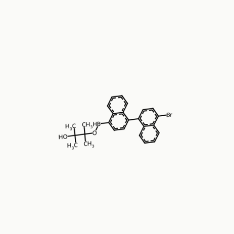 CC(C)(O)C(C)(C)OBc1ccc(-c2ccc(Br)c3ccccc23)c2ccccc12